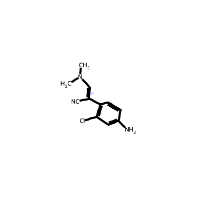 CN(C)/C=C(\C#N)c1ccc(N)cc1Cl